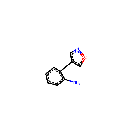 Nc1ccccc1-c1cnoc1